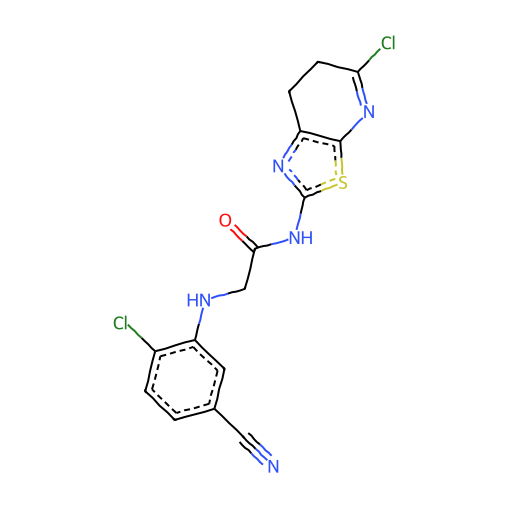 N#Cc1ccc(Cl)c(NCC(=O)Nc2nc3c(s2)N=C(Cl)CC3)c1